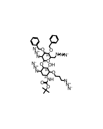 CC(C)(C)OC(=O)N[C@@H]1CC(N=[N+]=[N-])C(O[C@H]2OC(CN=[N+]=[N-])[C@@H](OCc3ccccc3)[C@H](OCc3ccccc3)C2N=[N+]=[N-])[C@H](O)C1OCCCN=[N+]=[N-]